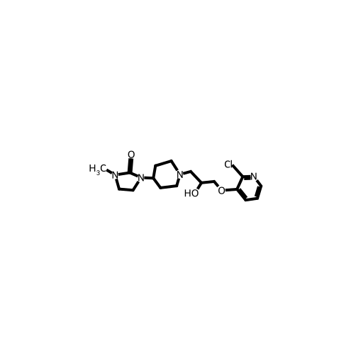 CN1CCN(C2CCN(CC(O)COc3cccnc3Cl)CC2)C1=O